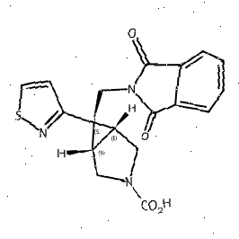 O=C(O)N1C[C@@H]2[C@H](C1)[C@]2(CN1C(=O)c2ccccc2C1=O)c1ccsn1